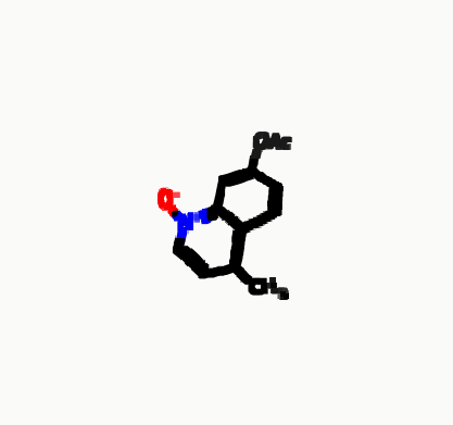 CC(=O)Oc1ccc2c(C)cc[n+]([O-])c2c1